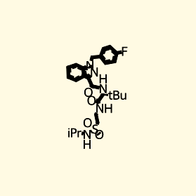 CC(C)NS(=O)(=O)CCNC(=O)[C@@H](NC(=O)c1nn(Cc2ccc(F)cc2)c2ccccc12)C(C)(C)C